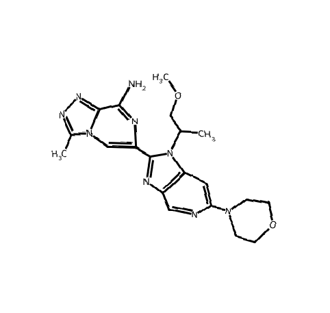 COCC(C)n1c(-c2cn3c(C)nnc3c(N)n2)nc2cnc(N3CCOCC3)cc21